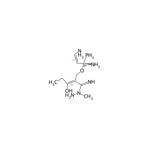 CC/C(O)=C(\CO[C@@](N)(P)/C=C\N)C(=N)N(C)N